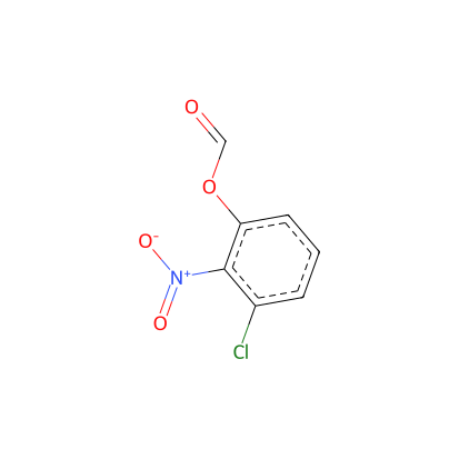 O=COc1cccc(Cl)c1[N+](=O)[O-]